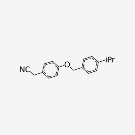 CC(C)c1ccc(COc2ccc(CC#N)cc2)cc1